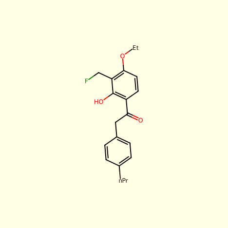 CCCc1ccc(CC(=O)c2ccc(OCC)c(CF)c2O)cc1